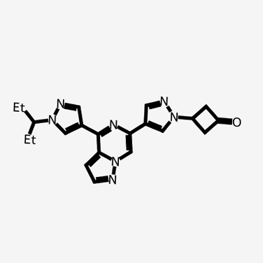 CCC(CC)n1cc(-c2nc(-c3cnn(C4CC(=O)C4)c3)cn3nccc23)cn1